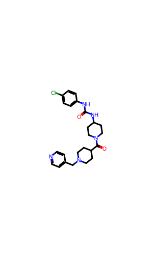 O=C(Nc1ccc(Cl)cc1)NC1CCN(C(=O)C2CCN(Cc3ccncc3)CC2)CC1